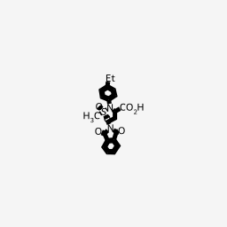 CCc1ccc(N(C(CCN2C(=O)c3ccccc3C2=O)C(=O)O)S(C)(=O)=O)cc1